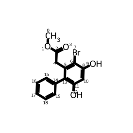 COC(=O)Cc1c(Br)c(O)cc(O)c1-c1ccccc1